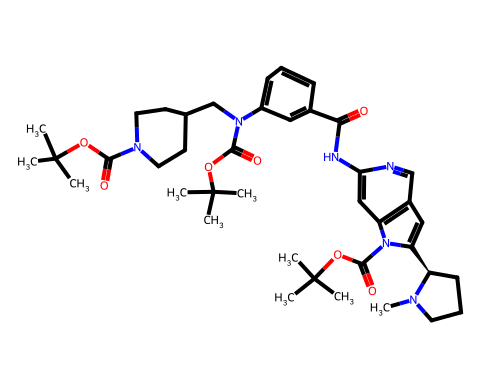 CN1CCC[C@@H]1c1cc2cnc(NC(=O)c3cccc(N(CC4CCN(C(=O)OC(C)(C)C)CC4)C(=O)OC(C)(C)C)c3)cc2n1C(=O)OC(C)(C)C